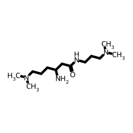 CN(C)CCCNC(=O)CC(N)CCCN(C)C